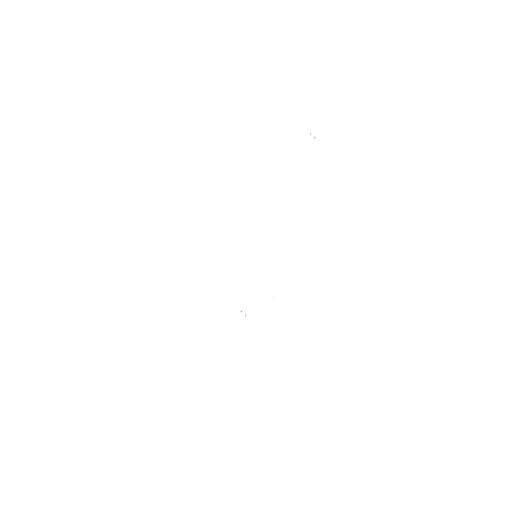 O=C(CCc1ccc([N+](=O)[O-])cc1)N(c1ccccc1)c1ccccc1